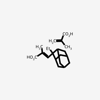 C=C(C)C(=O)O.CCC1(C=C(C)C(=O)O)C2CC3CC(C2)CC1C3